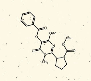 CC(=O)Oc1nc(C2CCCN2C(=O)OC(C)(C)C)n(C)c(=O)c1OC(=O)c1ccccc1